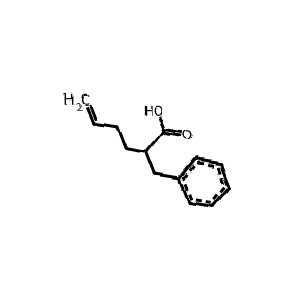 C=CCCC(Cc1ccccc1)C(=O)O